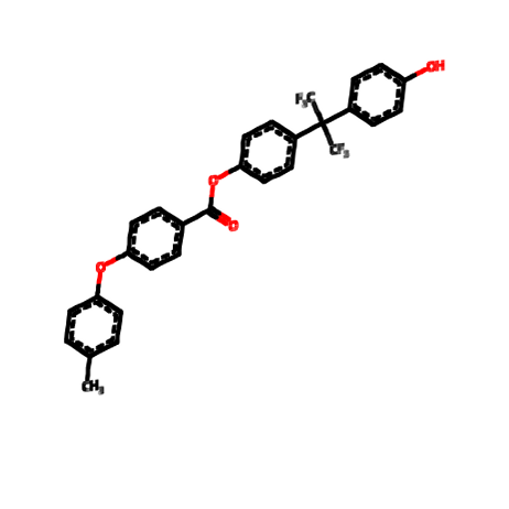 Cc1ccc(Oc2ccc(C(=O)Oc3ccc(C(c4ccc(O)cc4)(C(F)(F)F)C(F)(F)F)cc3)cc2)cc1